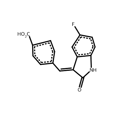 O=C1Nc2ccc(F)cc2C1=Cc1ccc(C(=O)O)cc1